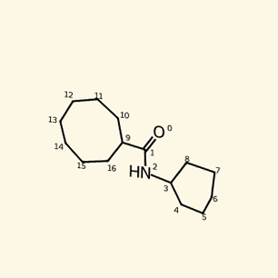 O=C(NC1CCCCC1)C1CCCCCCC1